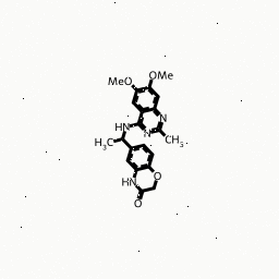 COc1cc2nc(C)nc(NC(C)c3ccc4c(c3)NC(=O)CO4)c2cc1OC